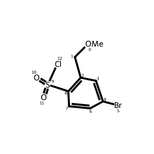 COCc1cc(Br)ccc1S(=O)(=O)Cl